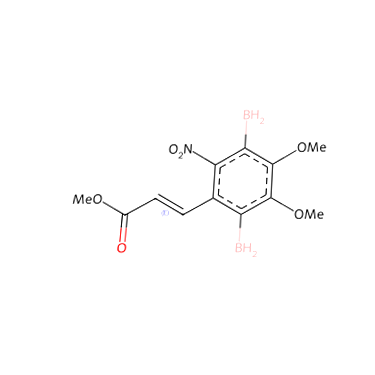 Bc1c(/C=C/C(=O)OC)c([N+](=O)[O-])c(B)c(OC)c1OC